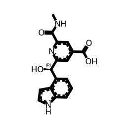 CNC(=O)c1cc(C(=O)O)cc([C@H](O)c2cccc3[nH]ccc23)n1